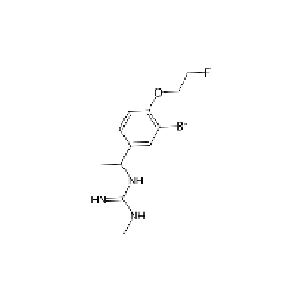 CNC(=N)NC(C)c1ccc(OCCF)c(Br)c1